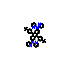 CC(C)(C)c1ccc(-c2c3ccc(N(c4ccccn4)c4ccccn4)cc3c(-c3ccc(C(C)(C)C)cc3)c3ccc(N(c4ccccn4)c4ccccn4)cc23)cc1